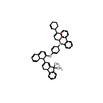 CC1(C)C2=CC(C3C(OC4=CCC(N(c5ccccc5-c5ccccc5)C5CC=C(C6C=CCCC6)CC5)C=C4)=CC=C4C=CC=CC43)=CCC2c2ccccc21